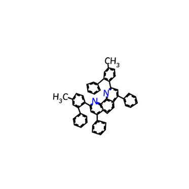 Cc1ccc(-c2cc(-c3ccccc3)c3ccc4c(-c5ccccc5)cc(-c5ccc(C)cc5-c5ccccc5)nc4c3n2)c(-c2ccccc2)c1